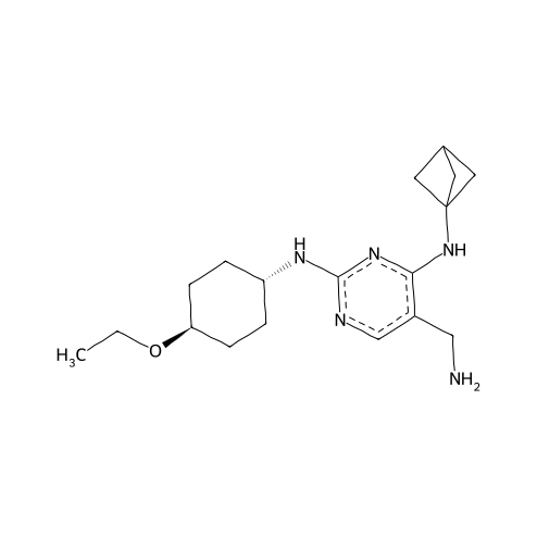 CCO[C@H]1CC[C@H](Nc2ncc(CN)c(NC34CC(C3)C4)n2)CC1